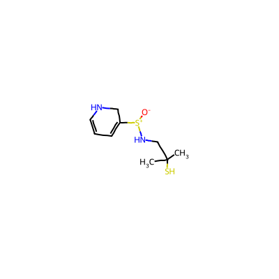 CC(C)(S)CN[S+]([O-])C1=CC=CNC1